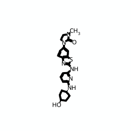 CN1CCN(c2ccc3nc(Nc4cccc(N[C@H]5CC[C@H](O)CC5)n4)sc3c2)C1=O